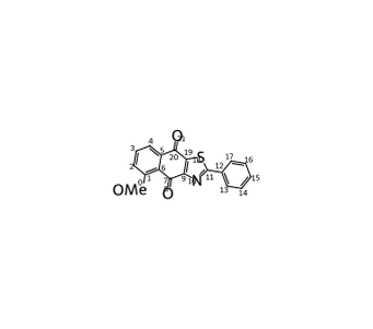 COc1cccc2c1C(=O)c1nc(-c3ccccc3)sc1C2=O